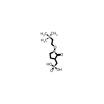 C[Si](C)(C)CCON1CCC(CP(=O)(O)O)C1=O